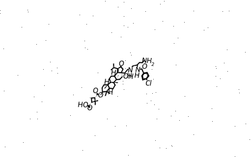 CC(C)C1=C2[C@H]3CC[C@@H]4[C@@]5(C)CC[C@H](OC(=O)[C@H]6C[C@@H](C(=O)O)C6(C)C)C(C)(C)[C@@H]5CC[C@@]4(C)[C@]3(C)CC[C@@]2([C@@H](O)CNCC(CCN)NC(=O)c2ccc(Cl)cc2)CC1=O